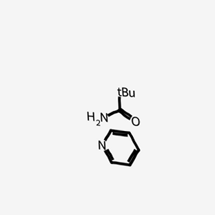 CC(C)(C)C(N)=O.c1ccncc1